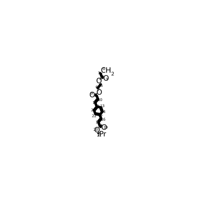 C=CC(=O)OCCOC(=O)/C=C/c1ccc(/C=C/C(=O)OC(C)C)cc1